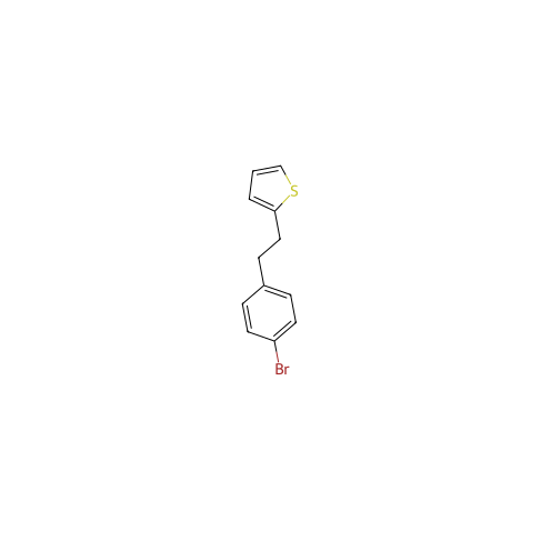 Brc1ccc(CCc2cccs2)cc1